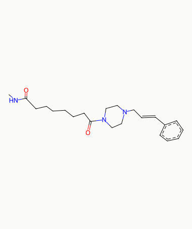 CNC(=O)CCCCCCC(=O)N1CCN(C/C=C/c2ccccc2)CC1